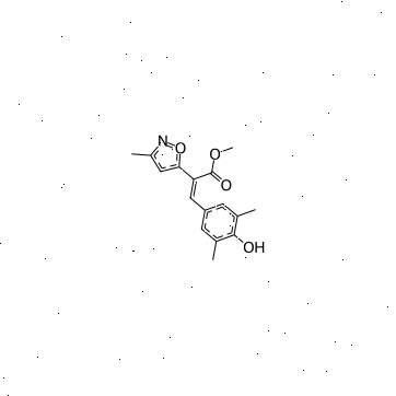 COC(=O)C(=Cc1cc(C)c(O)c(C)c1)c1cc(C)no1